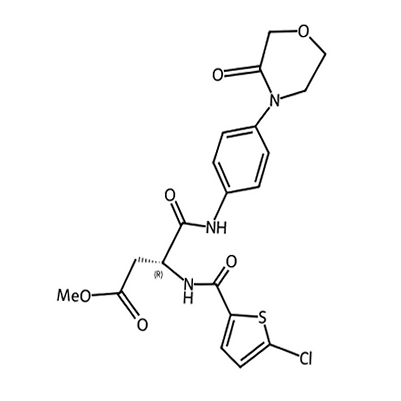 COC(=O)C[C@@H](NC(=O)c1ccc(Cl)s1)C(=O)Nc1ccc(N2CCOCC2=O)cc1